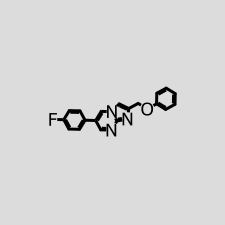 Fc1ccc(-c2cnc3nc(COc4ccccc4)cn3c2)cc1